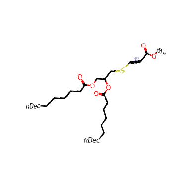 CCCCCCCCCCCCCCCC(=O)OCC(CS/C=C/C(=O)OC(C)(C)C)OC(=O)CCCCCCCCCCCCCCC